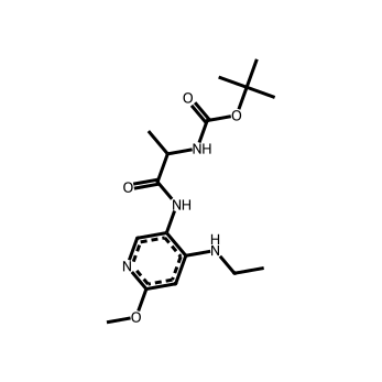 CCNc1cc(OC)ncc1NC(=O)C(C)NC(=O)OC(C)(C)C